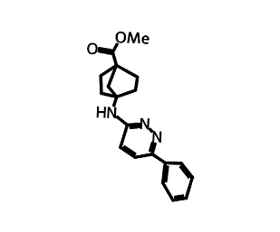 COC(=O)C12CCC(Nc3ccc(-c4ccccc4)nn3)(CC1)C2